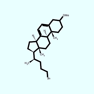 COC1CC[C@@]2(C)C(=CC=C3[C@@H]4CC[C@H]([C@H](C)CCCC(C)C)[C@@]4(C)CC[C@@H]32)C1